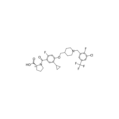 O=C(O)[C@@H]1CCCN1C(=O)c1cc(C2CC2)c(OCC2CCN(Cc3cc(C(F)(F)F)cc(Cl)c3F)CC2)cc1F